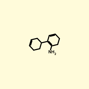 NC1=C(C2CC=CCC2)C=CCC1